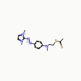 CC(=S)SCCN(C)c1ccc(/N=N/c2n(C)cc[n+]2C)cc1